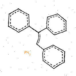 C(=C(c1ccccc1)c1ccccc1)c1ccccc1.P